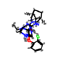 Cc1cc(N2C[C@H]3CC[C@@H](C2)[C@H]3Nc2nc(Oc3ccccc3Cl)n(CC(C)C)n2)ncn1